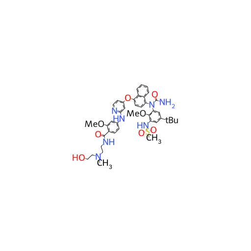 COc1cc(Nc2cc(Oc3ccc(N(C(N)=O)c4cc(C(C)(C)C)cc(NS(C)(=O)=O)c4OC)c4ccccc34)ccn2)ccc1C(=O)NCCN(C)CCO